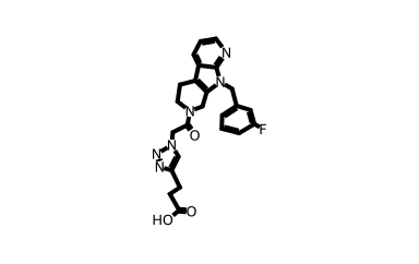 O=C(O)CCc1cn(CC(=O)N2CCc3c(n(Cc4cccc(F)c4)c4ncccc34)C2)nn1